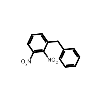 O=[N+]([O-])c1cccc(Cc2ccccc2)c1[N+](=O)[O-]